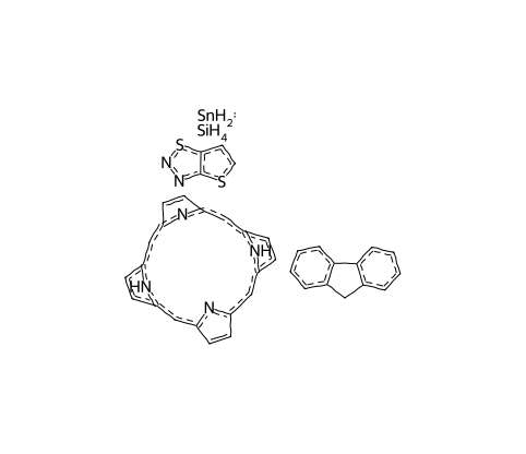 C1=Cc2cc3ccc(cc4nc(cc5ccc(cc1n2)[nH]5)C=C4)[nH]3.[SiH4].[SnH2].c1cc2snnc2s1.c1ccc2c(c1)Cc1ccccc1-2